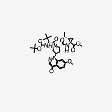 CC[C@@H]1C[C@]1(NC(=O)[C@@H]1C[C@@H](n2ncc(=O)c3ccc(OC)cc32)CN1C(=O)[C@@H](NC(=O)OC(C)(C)C)C(C)(C)C)C(=O)OC